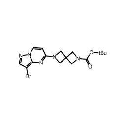 CC(C)(C)OC(=O)N1CC2(C1)CN(c1ccn3ncc(Br)c3n1)C2